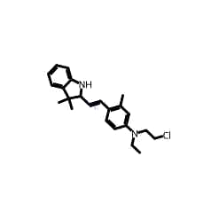 CCN(CCCl)c1ccc(/C=C/C2Nc3ccccc3C2(C)C)c(C)c1